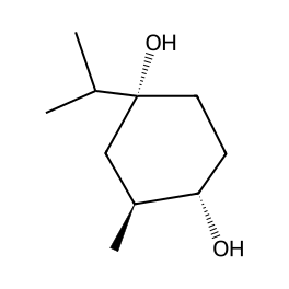 CC(C)[C@@]1(O)CC[C@H](O)[C@@H](C)C1